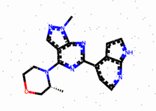 C[C@@H]1COCCN1c1nc(-c2ccnc3[nH]ccc23)nc2c1cnn2C